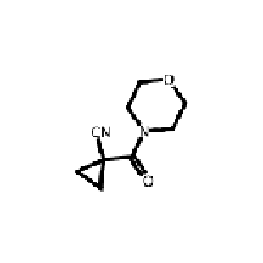 N#CC1(C(=O)N2CCOCC2)CC1